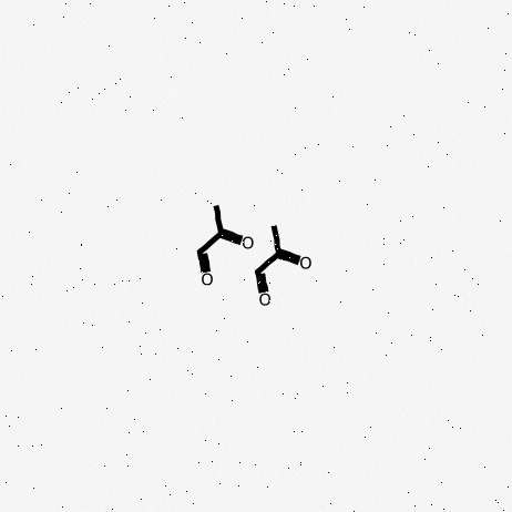 CC(=O)C=O.CC(=O)C=O